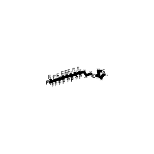 FC(F)(F)C(F)(F)C(F)(F)C(F)(F)C(F)(F)C(F)(F)C(F)(F)C(F)(F)CCCOc1ccsc1